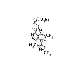 CCOC(=O)OC1CCN(c2ncnc(Oc3cc(C(F)(F)F)nn3C)c2NC(=O)C(F)(F)F)CC1